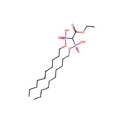 CCCCCCCCCCOP(=O)(O)C(C(=O)OCC)P(=O)(O)OCCCCCCCCCC